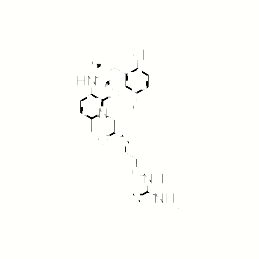 Cc1ccc(NS(=O)(=O)Cc2cc(Cl)ccc2Cl)c(=O)n1CC(=O)NCCONC(=N)N